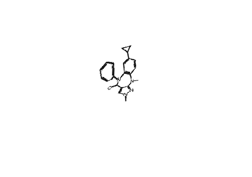 CN1c2ccc(C3CC3)cc2N(c2ccccc2)C(=O)c2cn(C)nc21